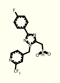 O=[SH](=O)Cc1nc(-c2ccc(F)cc2)nn1Cc1ccnc(C(F)(F)F)c1